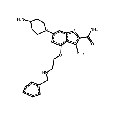 NC(=O)c1sc2cc(N3CCC(N)CC3)cc(OCCNCc3ccccc3)c2c1N